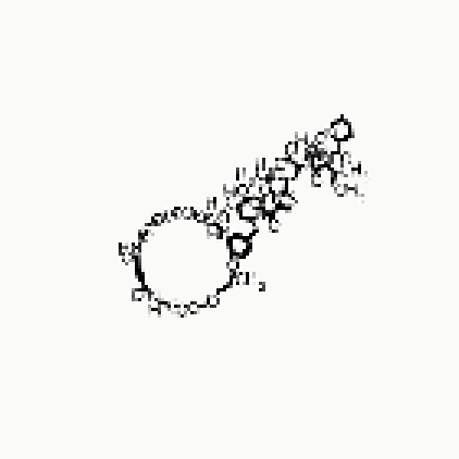 C=C1CCOCCOCCNC(=O)C#CC(=O)NCCOCCOCCC(=O)Nc2cc(C[C@@H](CC(C)C(=O)O)NC(=O)c3csc([C@@H](CC(C(C)C)N(C)C(=O)[C@@H](NC(=O)[C@H]4CCCCN4C)[C@@H](C)CC)OC(C)=O)n3)ccc2O1